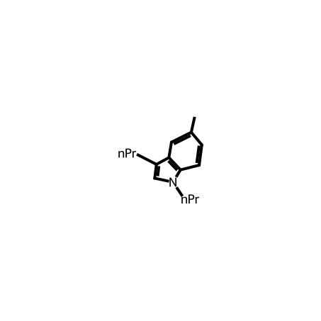 CCCc1cn(CCC)c2ccc(C)cc12